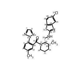 Cc1ccc(-n2nccn2)c(C(=O)N2CCC[C@@H](C)[C@H]2CNc2nc3cc(Cl)ccc3s2)c1